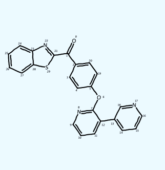 O=C(c1ccc(Oc2ncccc2-c2cccnc2)cc1)c1nc2ccccc2s1